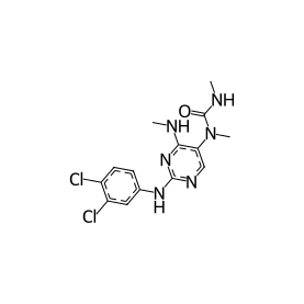 CNC(=O)N(C)c1cnc(Nc2ccc(Cl)c(Cl)c2)nc1NC